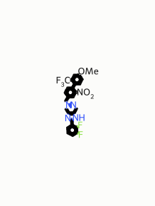 COc1ccc(-c2ccc(CN3Cc4nc(-c5cccc(F)c5F)[nH]c4C=N3)cc2[N+](=O)[O-])c(C(F)(F)F)c1